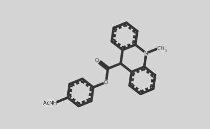 CC(=O)Nc1ccc(OC(=O)C2c3ccccc3N(C)c3ccccc32)cc1